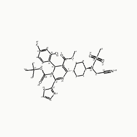 COC(=O)C1=C([C@H]2CC[C@H](N(CC#N)S(C)(=O)=O)CC2)N=C(c2nccs2)N(C(=O)OC(C)(C)C)C1c1ccc(F)cc1Cl